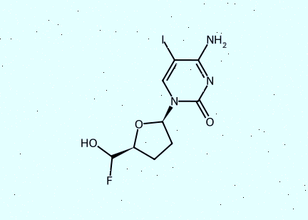 Nc1nc(=O)n([C@H]2CC[C@@H](C(O)F)O2)cc1I